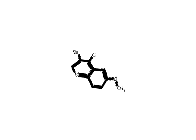 COc1ccc2ncc(Br)c(Cl)c2c1